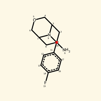 NC1CC2COCC(C1)N2Cc1ccc(F)cc1